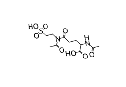 CC(=O)NC(CCC(=O)N(CCS(=O)(=O)O)C(C)=O)C(=O)O